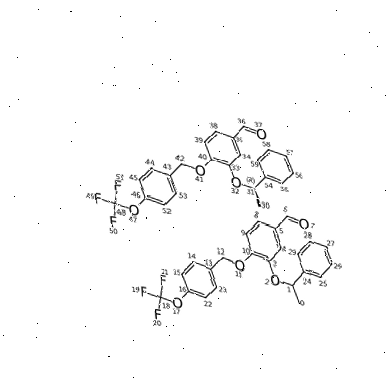 CC(Oc1cc(C=O)ccc1OCc1ccc(OC(F)(F)F)cc1)c1ccccc1.C[C@@H](Oc1cc(C=O)ccc1OCc1ccc(OC(F)(F)F)cc1)c1ccccc1